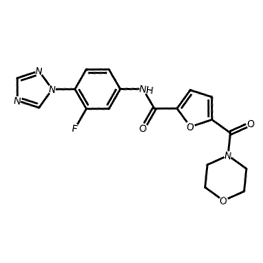 O=C(Nc1ccc(-n2cncn2)c(F)c1)c1ccc(C(=O)N2CCOCC2)o1